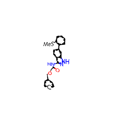 CSc1ccccc1-c1ccc2c(NC(=O)COCc3ccccc3)n[nH]c2c1